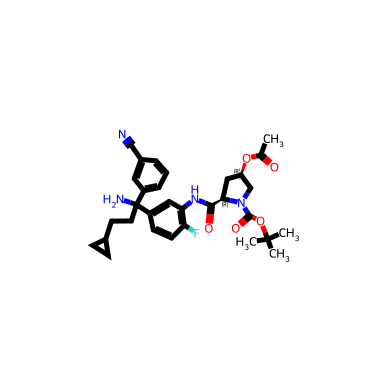 CC(=O)O[C@@H]1C[C@H](C(=O)Nc2cc(C(N)(CCC3CC3)c3cccc(C#N)c3)ccc2F)N(C(=O)OC(C)(C)C)C1